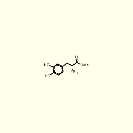 COC(=O)[C@H](N)Cc1ccc(O)c(O)c1